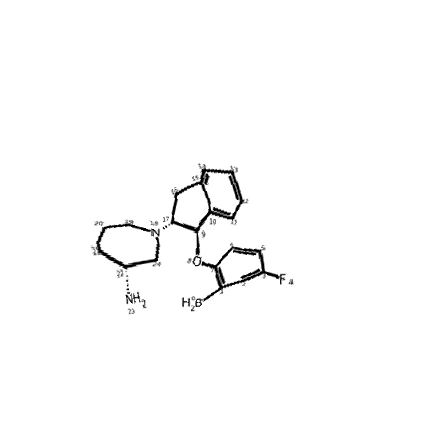 Bc1cc(F)ccc1O[C@@H]1c2ccccc2C[C@H]1N1CCC[C@@H](N)C1